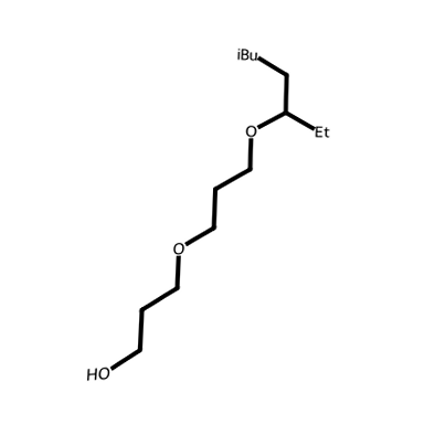 CCC(C)CC(CC)OCCCOCCCO